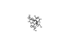 CCOC(=O)C(C(=O)OCC)[C@H]1CC[C@H](OC)ON1c1ccccc1C